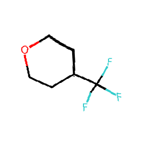 FC(F)(F)[C]1CCOCC1